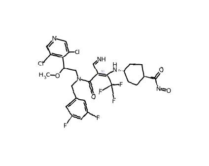 COC(CN(Cc1cc(F)cc(F)c1)C(=O)/C(C=N)=C(/N[C@H]1CC[C@H](C(=O)N=O)CC1)C(F)(F)F)c1c(Cl)cncc1Cl